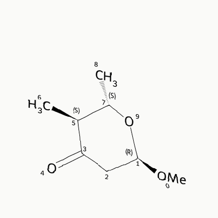 CO[C@H]1CC(=O)[C@@H](C)[C@H](C)O1